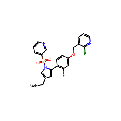 CNCc1cc(-c2ccc(OCc3cccnc3F)cc2F)n(S(=O)(=O)c2cccnc2)c1